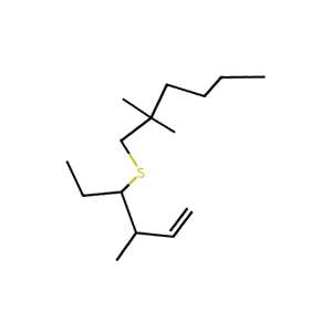 C=CC(C)C(CC)SCC(C)(C)CCCC